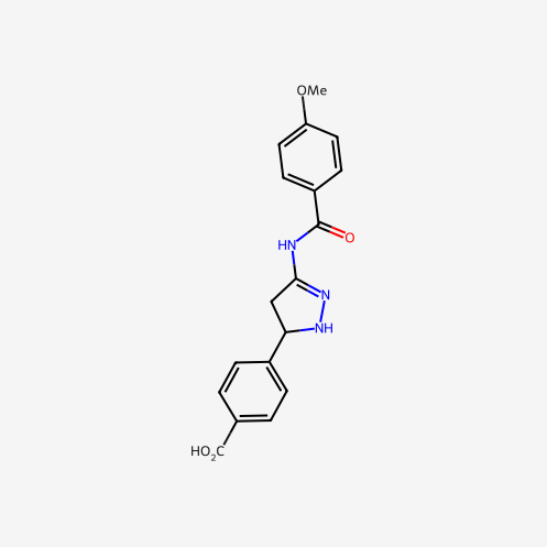 COc1ccc(C(=O)NC2=NNC(c3ccc(C(=O)O)cc3)C2)cc1